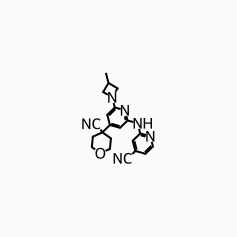 CC1CN(c2cc(C3(C#N)CCOCC3)cc(Nc3cc(C#N)ccn3)n2)C1